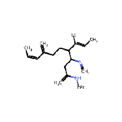 C=NC(CC(=C)NCCC)C(CCC(=C)/C=C\C)/C(=C/C)CC